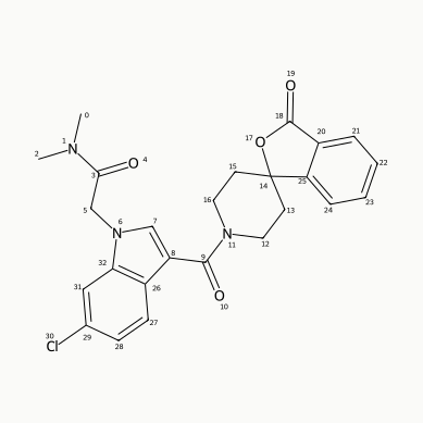 CN(C)C(=O)Cn1cc(C(=O)N2CCC3(CC2)OC(=O)c2ccccc23)c2ccc(Cl)cc21